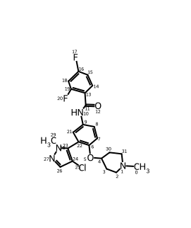 CN1CCC(Oc2ccc(NC(=O)c3ccc(F)cc3F)cc2-c2c(Cl)cnn2C)CC1